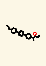 C=CC(=O)C(C)C1CCC(c2ccc(C3CCC(CCC)CC3)cc2)CC1